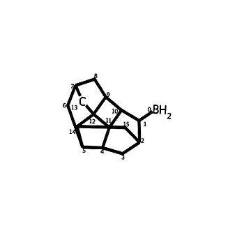 BC1C2CC3C4CC5CC6C1C3C6(C5)C4C2